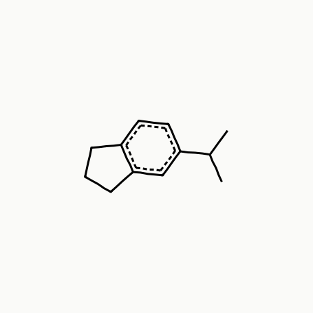 CC(C)c1ccc2c(c1)CCC2